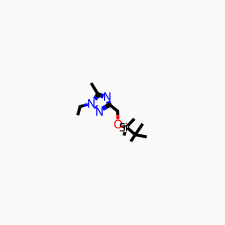 CCn1nc(CO[Si](C)(C)C(C)(C)C)nc1C